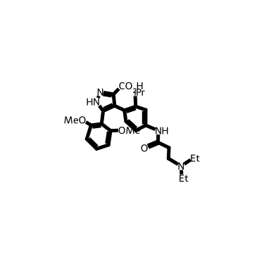 CCN(CC)CCC(=O)Nc1ccc(-c2c(C(=O)O)n[nH]c2-c2c(OC)cccc2OC)c(C(C)C)c1